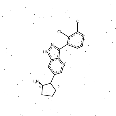 N[C@@H]1CCCC1c1cnc2c(-c3cccc(Cl)c3Cl)n[nH]c2c1